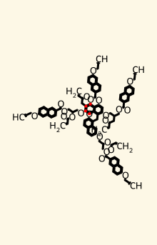 C#CCOc1ccc2cc(C(=O)OCC(COc3ccc4ccc(OCC(COC(=O)c5ccc6cc(OCC#C)ccc6c5)OC(=O)C=C)cc4c3Cc3c(OCC(COC(=O)c4ccc5cc(OCC#C)ccc5c4)CC(=O)C=C)ccc4ccc(OCC(COC(=O)c5ccc6cc(OCC#C)ccc6c5)OC(=O)C=C)cc34)CC(=O)C=C)ccc2c1